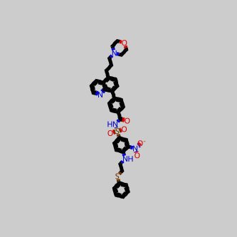 O=C(NS(=O)(=O)c1ccc(NCCSc2ccccc2)c([N+](=O)[O-])c1)c1ccc(-c2ccc(CCCN3CCOCC3)c3cccnc23)cc1